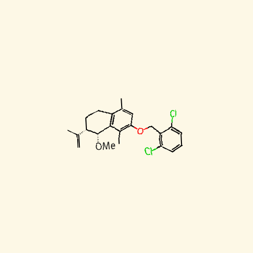 C=C(C)[C@@H]1CCc2c(C)cc(OCc3c(Cl)cccc3Cl)c(C)c2[C@@H]1OC